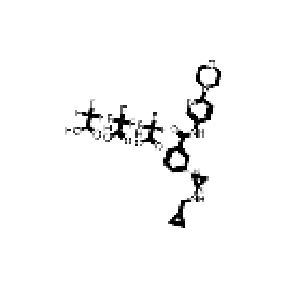 O=C(Nc1ccc(N2CCOCC2)nc1)c1cccc([C@@H]2C[C@H]2NCC2CC2)c1.O=C(O)C(F)(F)F.O=C(O)C(F)(F)F.O=C(O)C(F)(F)F